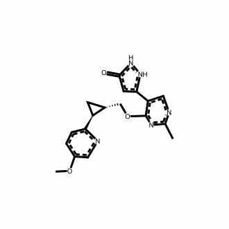 COc1ccc([C@H]2C[C@@H]2COc2nc(C)ncc2-c2cc(=O)[nH][nH]2)nc1